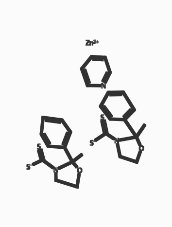 CC1(c2ccccc2)OCCN1C(=S)[S-].CC1(c2ccccc2)OCCN1C(=S)[S-].[Zn+2].c1ccncc1